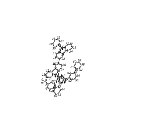 CC1(C)c2ccccc2-c2c1ccc1c3cc(-c4ccc5c(c4)c4ccccc4n5-c4ccccc4)ccc3n(-c3nc(-c4ccccc4)nc(-c4cccc(-c5ccccc5)c4)n3)c21